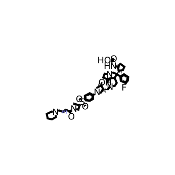 O=C(O)N[C@H]1CCC[C@@H]1C(CN1CCC1)(c1cccc(F)c1)C1CCN(C[C@H]2CN(c3ccc(S(=O)(=O)C4CN(C(=O)/C=C/CN5CCCCC5)C4)cc3)C[C@H]2O)CC1